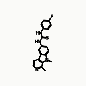 Cc1nccc2c3cc(NC(=S)Nc4ccc(F)cc4)ccc3n(C)c12